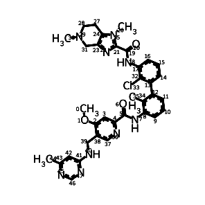 COc1cc(C(=O)Nc2cccc(-c3cccc(NC(=O)c4nc5c(n4C)CCN(C)C5)c3Cl)c2C)ncc1CNc1cc(C)ncn1